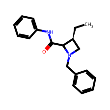 CC[C@H]1CN(Cc2ccccc2)C1C(=O)Nc1ccccc1